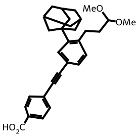 COC(CCc1ccc(C#Cc2ccc(C(=O)O)cc2)cc1C12CC3CC(CC(C3)C1)C2)OC